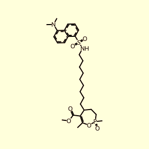 COC(=O)C1=C(C)OP(C)(=O)CCC1CCCCCCCCCNS(=O)(=O)c1cccc2c(N(C)C)cccc12